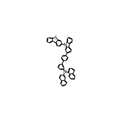 c1cc(-c2ccc(-c3ccc4c5ccccc5n(-c5ccc6c(c5)sc5ccccc56)c4c3)cc2)cc(N(c2ccc3ccccc3c2)c2cccc3ccccc23)c1